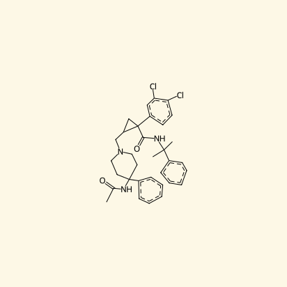 CC(=O)NC1(c2ccccc2)CCN(CC2CC2(C(=O)NC(C)(C)c2ccccc2)c2ccc(Cl)c(Cl)c2)CC1